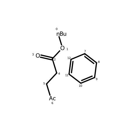 CCCCOC(=O)CCC(C)=O.[c]1ccccc1